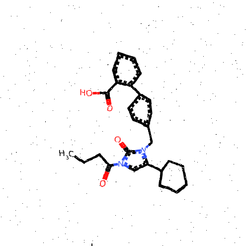 CCCC(=O)n1cc(C2CCCCC2)n(Cc2ccc(-c3ccccc3C(=O)O)cc2)c1=O